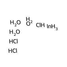 Cl.Cl.Cl.O.O.O.[InH3]